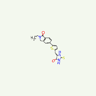 CCN1Cc2cc(-c3ccc(/C=C4\NC(=S)NC4=O)s3)ccc2C1=O